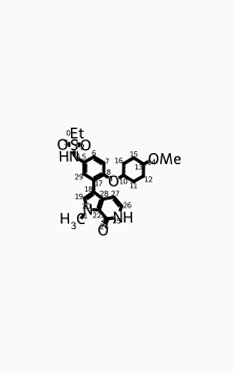 CCS(=O)(=O)Nc1ccc(OC2CCC(OC)CC2)c(-c2cn(C)c3c(=O)[nH]ccc23)c1